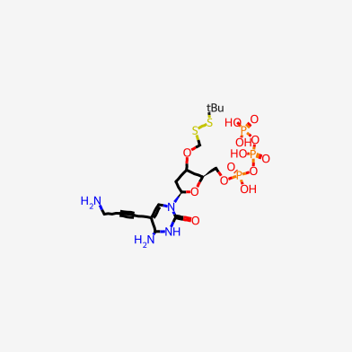 CC(C)(C)SSCOC1C[C@H](N2C=C(C#CCN)C(N)NC2=O)O[C@@H]1COP(=O)(O)OP(=O)(O)OP(=O)(O)O